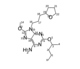 CCCC(C)Oc1nc(N)c2nc(OC)n(CCCC3CCCO3)c2n1